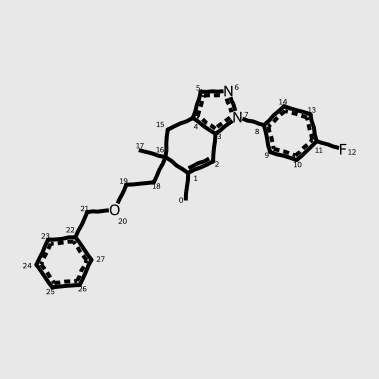 CC1=Cc2c(cnn2-c2ccc(F)cc2)CC1(C)CCOCc1ccccc1